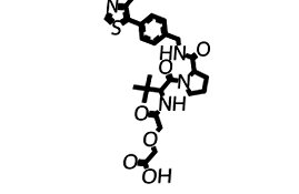 Cc1ncsc1-c1ccc(CNC(=O)C2CCCN2C(=O)C(NC(=O)COCC(=O)O)C(C)(C)C)cc1